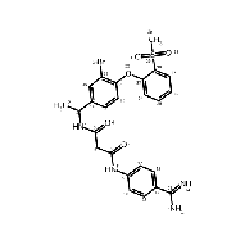 CC(NC(=O)CC(=O)Nc1ccc(C(=N)N)cc1)c1ccc(Oc2ccccc2S(C)(=O)=O)c(Br)c1